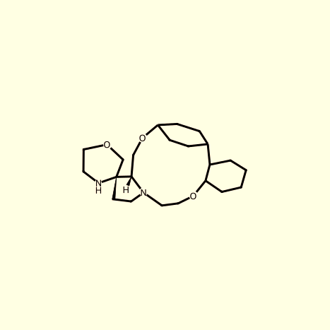 C1CCC2C3CCC(CC3)OC[C@@H]3N(CCOC2C1)CC[C@@]31COCCN1